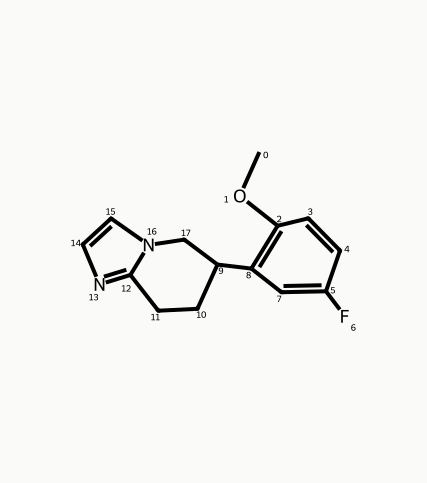 COc1ccc(F)cc1C1CCc2nccn2C1